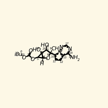 CC[C@H](C)OC(=O)OC1[C@H]2O[C@@](C)(c3ccc4c(N)ncnn34)[C@H](O)[C@@]12O